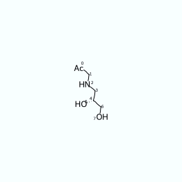 CC(=O)CNC[C@@H](O)CO